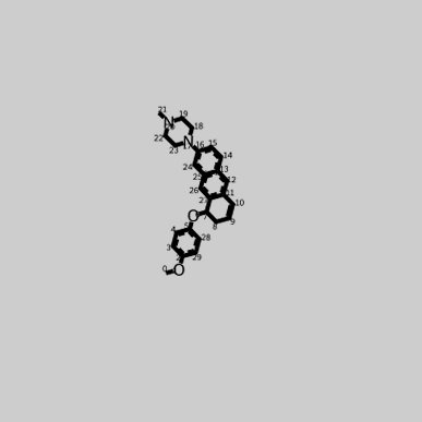 COc1ccc(OC2CC=Cc3cc4ccc(N5CCN(C)CC5)cc4cc32)cc1